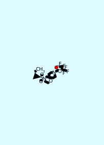 CC[C@H]1C[C@H]1S(=O)(=O)N1CCOC2(CCN(C(=O)OC(C(F)(F)F)C(F)(F)F)CC2)C1